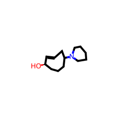 O[C@H]1/C=C/CC(N2CCCCC2)CCC1